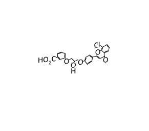 O=C(O)c1cccc(OCC(O)COc2ccc(-c3cc(=O)c4cccc(Cl)c4o3)cc2)c1